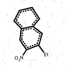 CCc1cc2ccccc2cc1[N+](=O)[O-]